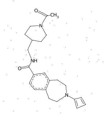 CC(=O)N1CCC(CNC(=O)c2ccc3c(c2)CCN(C2=CC=C2)CC3)CC1